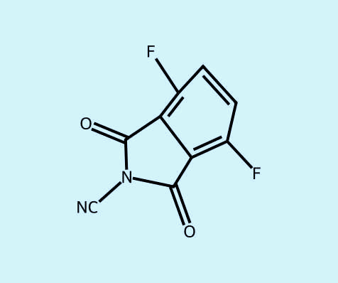 N#CN1C(=O)c2c(F)ccc(F)c2C1=O